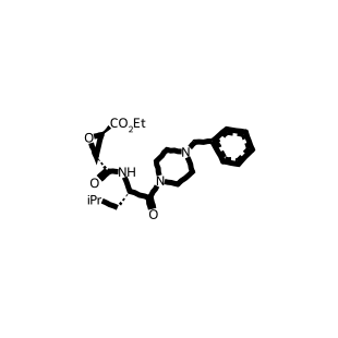 CCOC(=O)[C@@H]1O[C@H]1C(=O)N[C@@H](CC(C)C)C(=O)N1CCN(Cc2ccccc2)CC1